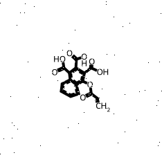 C=CC(=O)Oc1c(C(=O)O)c(C(=O)O)c(C(=O)O)c2ccccc12